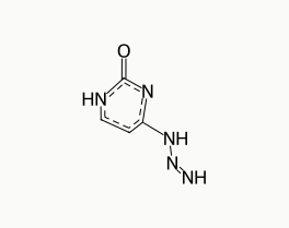 N=NNc1cc[nH]c(=O)n1